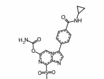 CS(=O)(=O)c1nc(OC(N)=O)cn2c(-c3ccc(C(=O)NC4CC4)cc3)cnc12